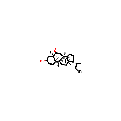 CC(C)CC(C)[C@H]1CC[C@H]2[C@@H]3CC(=O)[C@H]4C[C@H](O)CC[C@]4(C)[C@H]3CC[C@]12C